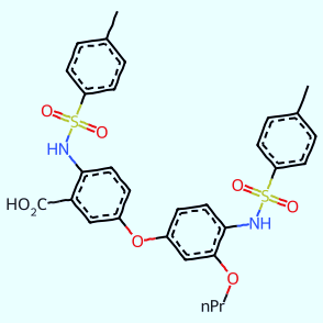 CCCOc1cc(Oc2ccc(NS(=O)(=O)c3ccc(C)cc3)c(C(=O)O)c2)ccc1NS(=O)(=O)c1ccc(C)cc1